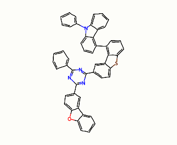 c1ccc(-c2nc(-c3ccc4oc5ccccc5c4c3)nc(-c3ccc4sc5cccc(-c6cccc7c6c6ccccc6n7-c6ccccc6)c5c4c3)n2)cc1